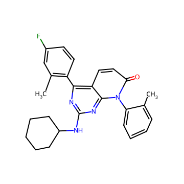 Cc1cc(F)ccc1-c1nc(NC2CCCCC2)nc2c1ccc(=O)n2-c1ccccc1C